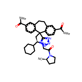 CNC(=O)c1ccc2c(c1)CCc1cc(C(=O)NC)ccc1C2(C[C@@H](NCC(=O)N1CCC[C@H]1C#N)C1CCCCC1)c1nnn[nH]1